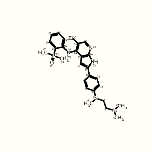 CN(C)CCN(C)c1ccc(-c2cc3c(Nc4ccccc4P(C)(C)=O)c(Cl)cnc3[nH]2)cc1